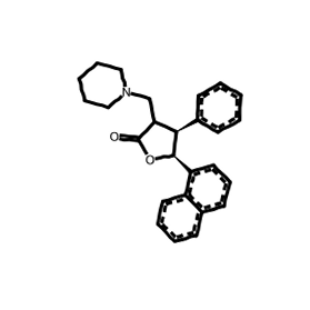 O=C1O[C@H](c2cccc3ccccc23)[C@H](c2ccccc2)C1CN1CCCCC1